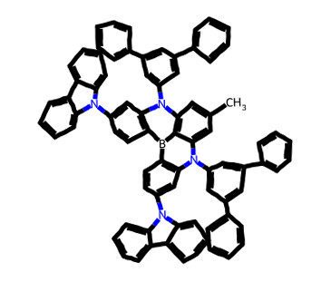 Cc1cc2c3c(c1)N(c1cc(-c4ccccc4)cc(-c4ccccc4)c1)c1cc(-n4c5ccccc5c5ccccc54)ccc1B3c1ccc(-n3c4ccccc4c4ccccc43)cc1N2c1cc(-c2ccccc2)cc(-c2ccccc2)c1